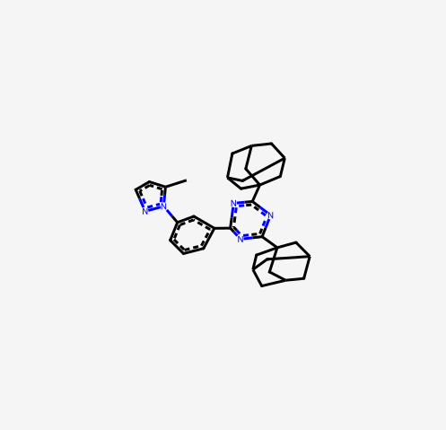 Cc1ccnn1-c1cccc(-c2nc(C34CC5CC(CC(C5)C3)C4)nc(C34CC5CC(CC(C5)C3)C4)n2)c1